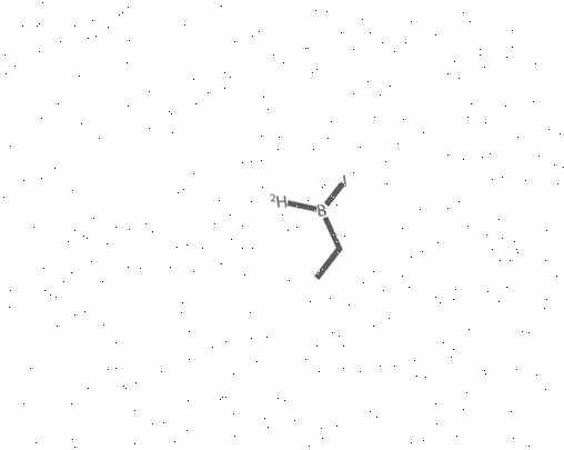 [2H]B(I)CC